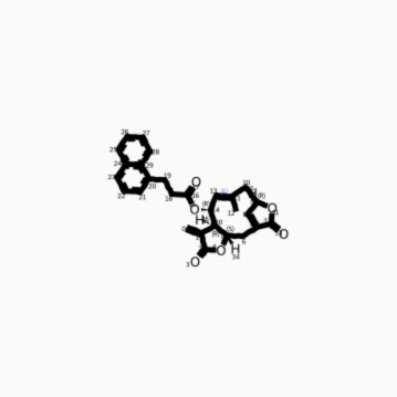 C=C1C(=O)O[C@H]2CC3=C[C@@H](C/C(C)=C/[C@@H](OC(=O)CCc4cccc5ccccc45)[C@H]12)OC3=O